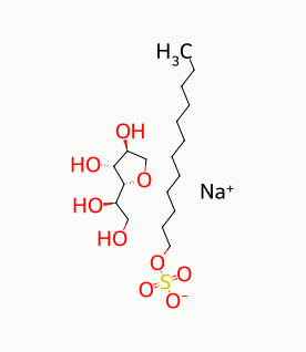 CCCCCCCCCCCCOS(=O)(=O)[O-].OC[C@@H](O)[C@H]1OC[C@H](O)[C@H]1O.[Na+]